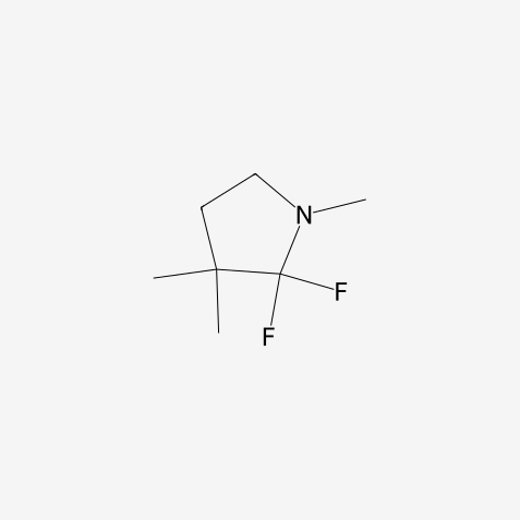 CN1CCC(C)(C)C1(F)F